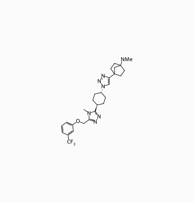 CNC12CCC(c3cn([C@H]4CC[C@H](c5nnc(COc6cccc(C(F)(F)F)c6)n5C)CC4)nn3)(CC1)C2